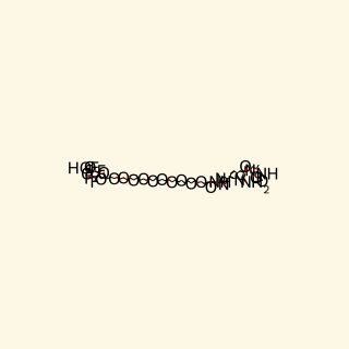 CCCN(CC1CNC(=O)O1)C(=O)C1=Cc2ccc(-c3cnc(CNC(=O)CCOCCOCCOCCOCCOCCOCCOCCOCCOCCOCCC(=O)Oc4c(F)c(F)c(S(=O)(=O)O)c(F)c4F)nc3)cc2N=C(N)C1